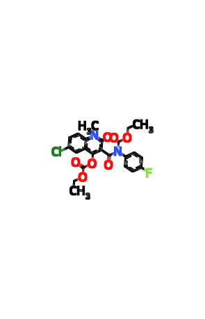 CCOC(=O)Oc1c(C(=O)N(C(=O)OCC)c2ccc(F)cc2)c(=O)n(C)c2ccc(Cl)cc12